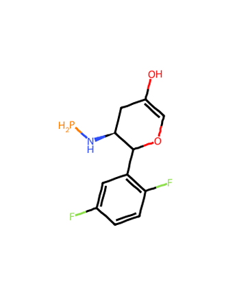 OC1=COC(c2cc(F)ccc2F)[C@@H](NP)C1